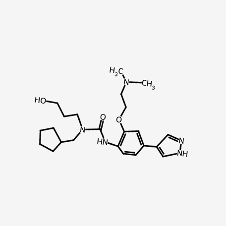 CN(C)CCOc1cc(-c2cn[nH]c2)ccc1NC(=O)N(CCCO)CC1CCCC1